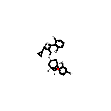 C[C@H]1C[C@@H]2C[C@@H](OCc3c(-c4c(Cl)cccc4Cl)noc3C3CC3)C[C@H]1[C@]2(O)c1ccc(Br)cc1F